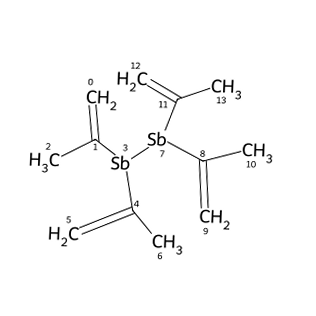 C=[C](C)[Sb]([C](=C)C)[Sb]([C](=C)C)[C](=C)C